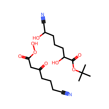 CC(C)(C)OC(=O)C(O)CCCC(O)C#N.N#CCCCC(=O)CC(=O)OO